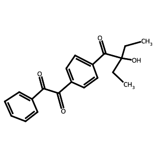 CCC(O)(CC)C(=O)c1ccc(C(=O)C(=O)c2ccccc2)cc1